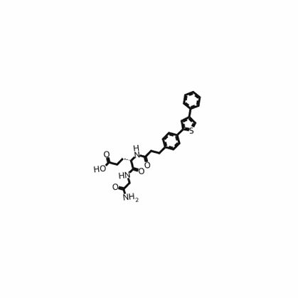 NC(=O)CNC(=O)[C@H](CCC(=O)O)NC(=O)CCc1ccc(-c2cc(-c3ccccc3)cs2)cc1